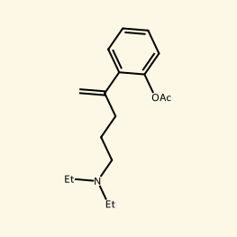 C=C(CCCN(CC)CC)c1ccccc1OC(C)=O